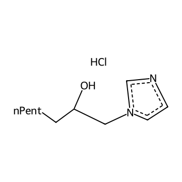 CCCCCCC(O)Cn1ccnc1.Cl